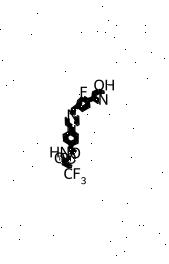 O=C(NS(=O)(=O)CCC(F)(F)F)c1ccc(N2CCN(Cc3ccc(-c4cncc(O)c4)c(F)c3)CC2)cc1